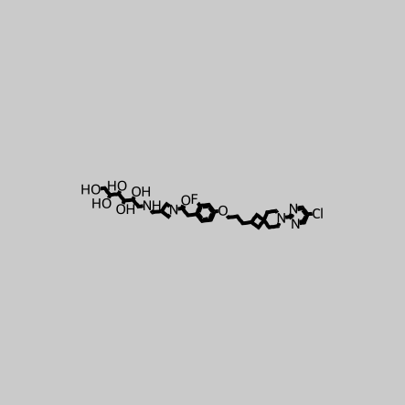 O=C(Cc1ccc(OCCCC2CC3(CCN(c4ncc(Cl)cn4)CC3)C2)cc1F)N1CC(CNCC(O)C(O)C(O)C(O)CO)C1